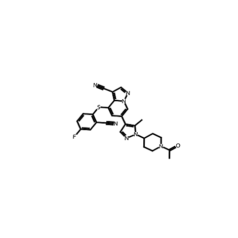 CC(=O)N1CCC(n2ncc(-c3cc(Sc4ccc(F)cc4C#N)c4c(C#N)cnn4c3)c2C)CC1